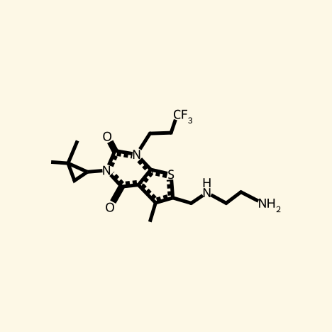 Cc1c(CNCCN)sc2c1c(=O)n(C1CC1(C)C)c(=O)n2CCC(F)(F)F